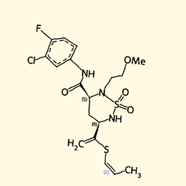 C=C(S/C=C\C)[C@H]1C[C@@H](C(=O)Nc2ccc(F)c(Cl)c2)N(CCOC)S(=O)(=O)N1